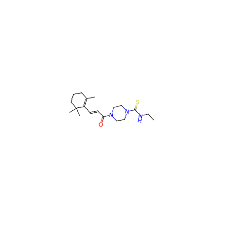 CCNC(=S)N1CCN(C(=O)/C=C/C2=C(C)CCCC2(C)C)CC1